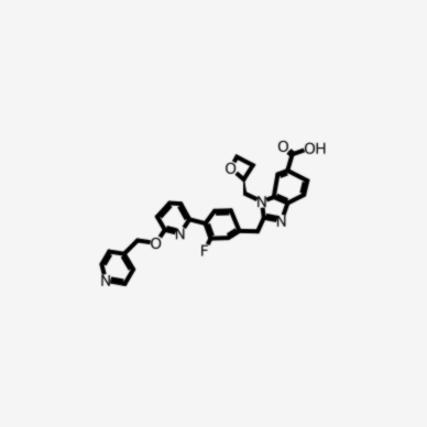 O=C(O)c1ccc2nc(Cc3ccc(-c4cccc(OCc5ccncc5)n4)c(F)c3)n(C[C@@H]3CCO3)c2c1